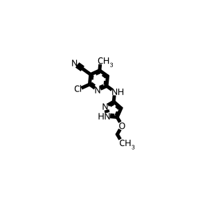 CCOc1cc(Nc2cc(C)c(C#N)c(Cl)n2)n[nH]1